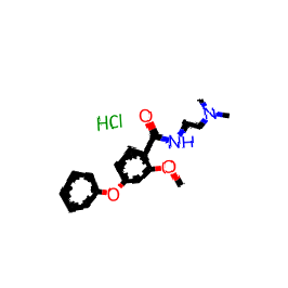 COc1cc(Oc2ccccc2)ccc1C(=O)NCCN(C)C.Cl